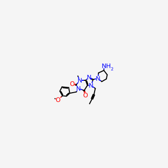 CC#CCn1c(N2CCCC(N)C2)nc2c1c(=O)n(Cc1cccc(OC)c1)c(=O)n2C